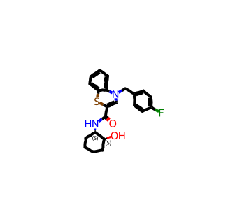 O=C(N[C@H]1CCCC[C@@H]1O)C1=CN(Cc2ccc(F)cc2)c2ccccc2S1